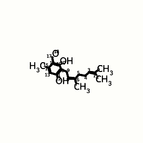 CC(C)=CCCC(C)=CCc1c(O)cc(C)c(C=O)c1O